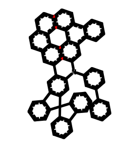 c1ccc(-c2cccc(N(c3ccc4c5ccccc5c5ccccc5c4c3)c3cc4c(cc3-c3ccc5c(ccc6ccccc65)c3)-c3ccccc3C43c4ccccc4-c4ccccc43)c2)cc1